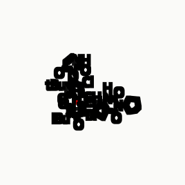 CCC(C)n1c(=O)[nH]c(C)c(Br)c1=O.Cc1[nH]c(=O)n(C(C)(C)C)c(=O)c1Cl.O=c1[nH]c2c(c(=O)n1C1CCCCC1)CCC2.O=c1cc[nH]c(=O)[nH]1